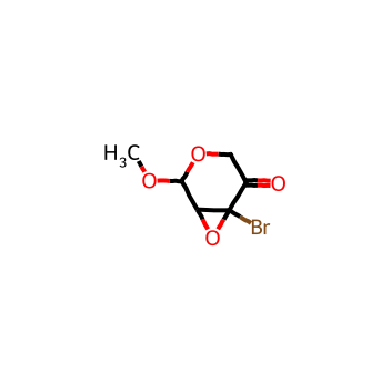 COC1OCC(=O)C2(Br)OC12